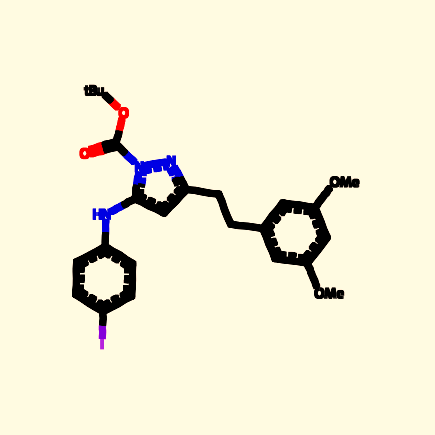 COc1cc(CCc2cc(Nc3ccc(I)cc3)n(C(=O)OC(C)(C)C)n2)cc(OC)c1